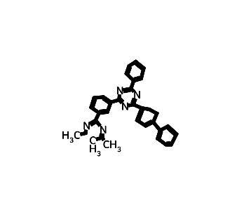 CC/N=C(\N=C(C)C)c1cccc(-c2nc(C3=CC=C(c4ccccc4)CC3)nc(-c3ccccc3)n2)c1